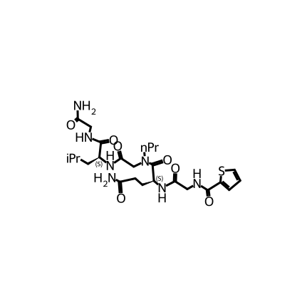 CCCN(CC(=O)N[C@@H](CC(C)C)C(=O)NCC(N)=O)C(=O)[C@H](CCC(N)=O)NC(=O)CNC(=O)c1cccs1